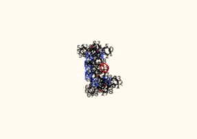 c1ccc2c(c1)c1ccccc1n2-c1ccc2c(c1)Oc1cc(-n3c4ccccc4c4ccccc43)ccc1C21c2cc(-n3c4ccccc4c4ccccc43)cnc2-c2ncc(-n3c4ccccc4c4ccccc43)cc21